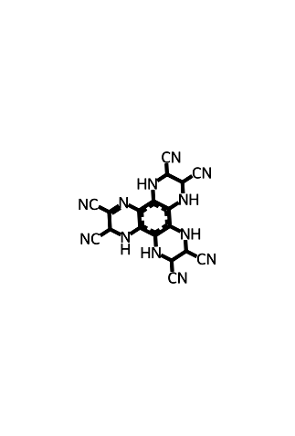 N#CC1=Nc2c3c(c4c(c2NC1C#N)NC(C#N)C(C#N)N4)NC(C#N)C(C#N)N3